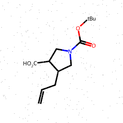 C=CCC1CN(C(=O)OC(C)(C)C)CC1C(=O)O